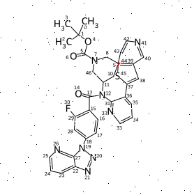 CC(C)(C)OC(=O)N1CCCC(N(C(=O)c2ccc(-n3nnc4cccnc43)cc2F)c2ncccc2-c2cc3cnccc3s2)C1